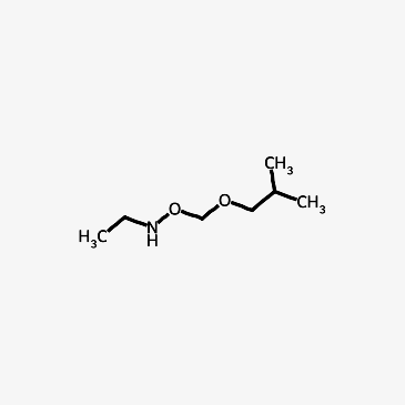 CCNOCOCC(C)C